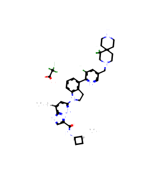 CNc1cc(N2CCc3c(-c4ncc(CN5CCC6(CCNCC6)C(F)(F)C5)cc4F)cccc32)nn2c(C(=O)N[C@@H]3CC[C@H]3OC)cnc12.O=C(O)C(F)(F)F